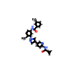 Cc1ccc(NC(=O)c2cccc(C(F)(F)F)c2)cc1-n1cc(-c2ccc(NC(=O)C3CC3)nc2)cn1